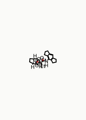 CCN(CC)C1C[C@H]2CC[C@@H](C1)N2S(=O)(=O)NC(=O)Nc1c2c(cc3c1CCC3)CCC2